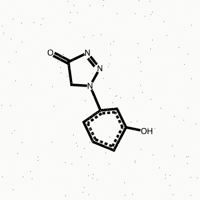 O=C1CN(c2cccc(O)c2)N=N1